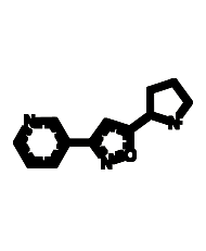 c1cncc(-c2cc(C3CCC[N]3)on2)c1